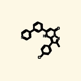 Cc1nn2c(=O)cc(-c3cccc(-c4ccncc4)c3)[nH]c2c1-c1ccc(Cl)cc1